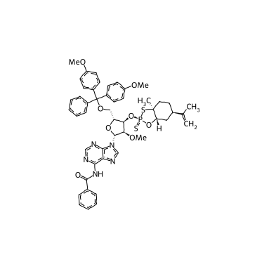 C=C(C)[C@@H]1CC[C@]2(C)S[P@](=S)(O[C@H]3[C@@H](OC)[C@H](n4cnc5c(NC(=O)c6ccccc6)ncnc54)O[C@@H]3COC(c3ccccc3)(c3ccc(OC)cc3)c3ccc(OC)cc3)O[C@H]2C1